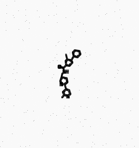 Cc1cc(-c2ccc(CNC(=O)c3ccc(-c4ccccc4)c(C)c3)cn2)ccn1